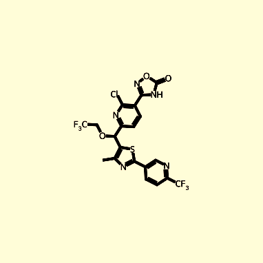 Cc1nc(-c2ccc(C(F)(F)F)nc2)sc1C(OCC(F)(F)F)c1ccc(-c2noc(=O)[nH]2)c(Cl)n1